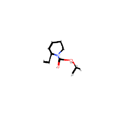 CCC1CCCCN1C(=O)OC(C)C